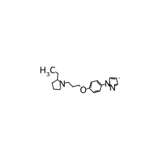 CCC1CCCN1CCCOc1ccc(-n2c[c]cn2)cc1